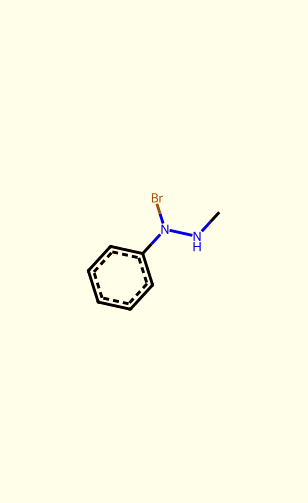 CNN(Br)c1ccccc1